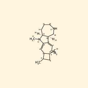 C/C=C1\C(=C/C2C(C)CC2C)N(C)[C@H]2CCCNC[C@@H]12